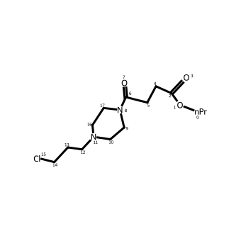 CCCOC(=O)CCC(=O)N1CCN(CCCCl)CC1